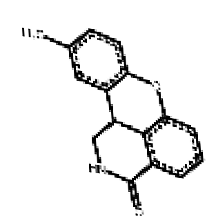 Cc1ccc2c(c1)C1CNC(=O)c3cccc(c31)O2